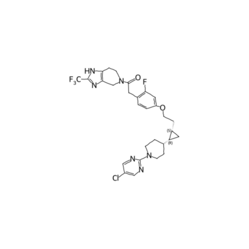 O=C(Cc1ccc(OCC[C@@H]2C[C@@H]2C2CCN(c3ncc(Cl)cn3)CC2)cc1F)N1CCc2[nH]c(C(F)(F)F)nc2C1